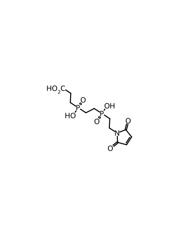 O=C(O)CCP(=O)(O)CCP(=O)(O)CCN1C(=O)C=CC1=O